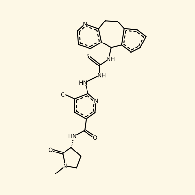 CN1CC[C@@H](NC(=O)c2cnc(NNC(=S)NC3c4ccccc4CCc4ncccc43)c(Cl)c2)C1=O